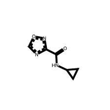 O=C(NC1CC1)c1n[c]on1